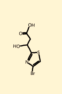 O=C(O)CC(O)c1nc(Br)cs1